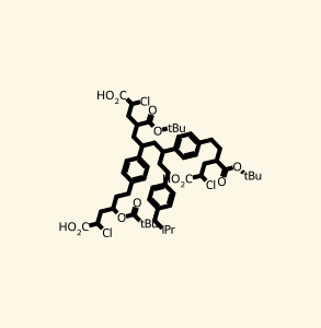 CC(C)Cc1ccc(CCC(CC(CC(CC(Cl)C(=O)O)C(=O)OC(C)(C)C)c2ccc(CCC(CC(Cl)C(=O)O)OC(=O)C(C)(C)C)cc2)c2ccc(CCC(CC(Cl)C(=O)O)C(=O)OC(C)(C)C)cc2)cc1